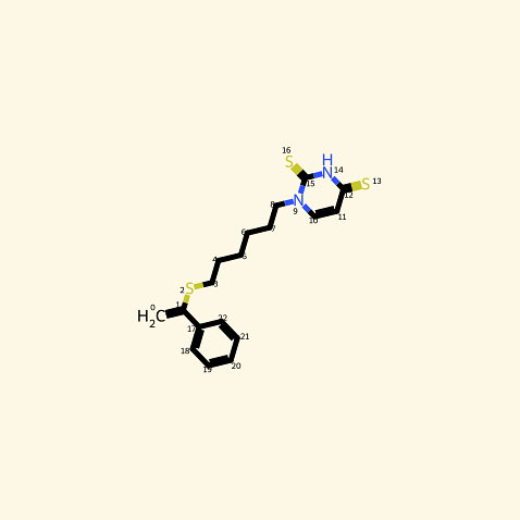 C=C(SCCCCCCn1ccc(=S)[nH]c1=S)c1ccccc1